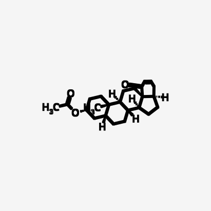 CC(=O)O[C@@H]1CC[C@@]2(C)[C@H](CC[C@@H]3[C@@H]2CC[C@@]24C(=O)C=CC[C@H]2CC[C@@H]34)C1